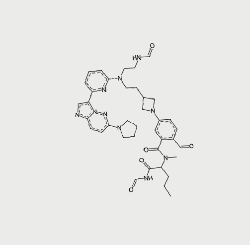 CCCC(C(=O)NC=O)N(C)C(=O)c1cc(N2CC(CCN(CCNC=O)c3cccc(-c4cnc5ccc(N6CCCC6)nn45)n3)C2)ccc1C=O